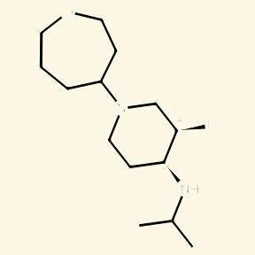 CC(C)N[C@H]1CCN(C2CCCOCC2)C[C@H]1F